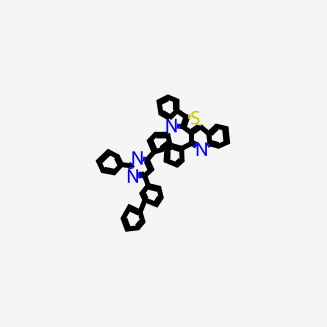 c1ccc(-c2cccc(-c3cc(-c4ccc(-n5c6ccccc6c6sc7c8ccccc8nc(-c8ccccc8)c7c65)cc4)nc(-c4ccccc4)n3)c2)cc1